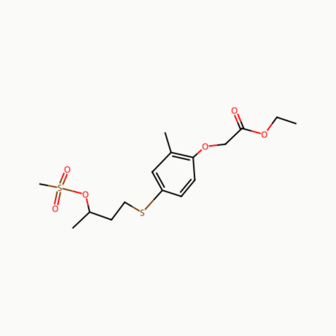 CCOC(=O)COc1ccc(SCCC(C)OS(C)(=O)=O)cc1C